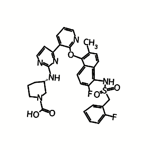 Cc1ccc2c(NS(=O)(=O)Cc3ccccc3F)c(F)ccc2c1Oc1ncccc1-c1ccnc(N[C@H]2CCCN(C(=O)O)C2)n1